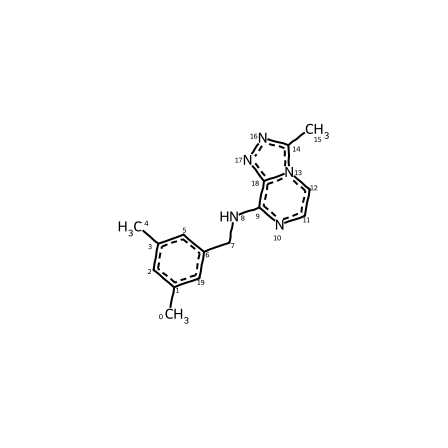 Cc1cc(C)cc(CNc2nccn3c(C)nnc23)c1